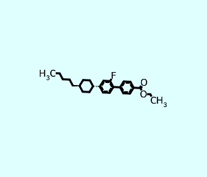 CCCCC[C@H]1CC[C@H](c2ccc(-c3ccc(C(=O)OCC)cc3)c(F)c2)CC1